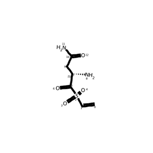 C=CS(=O)(=O)C(=O)[C@@H](N)CC(N)=O